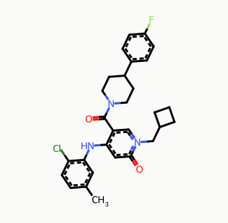 Cc1ccc(Cl)c(Nc2cc(=O)n(CC3CCC3)cc2C(=O)N2CCC(c3ccc(F)cc3)CC2)c1